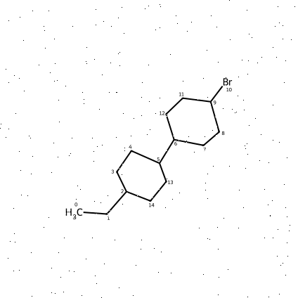 CCC1CCC(C2CCC(Br)CC2)CC1